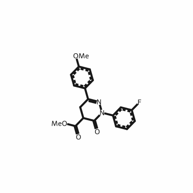 COC(=O)C1CC(c2ccc(OC)cc2)=NN(c2cccc(F)c2)C1=O